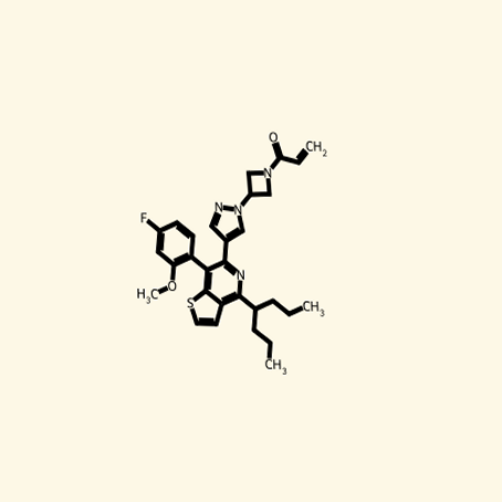 C=CC(=O)N1CC(n2cc(-c3nc(C(CCC)CCC)c4ccsc4c3-c3ccc(F)cc3OC)cn2)C1